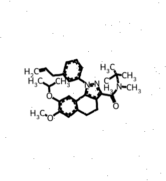 C=CCc1cccc(-n2nc(C(=O)N(C)C(C)(C)C)c3c2-c2cc(OC(C)C)c(OC)cc2CC3)c1